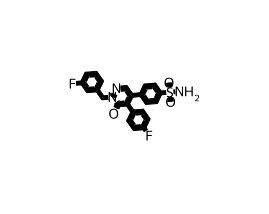 NS(=O)(=O)c1ccc(-c2cnn(Cc3cccc(F)c3)c(=O)c2-c2ccc(F)cc2)cc1